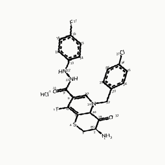 Cl.N[C@H]1CSC2=C(F)C(C(=O)NNc3ccc(F)cc3)=CN(Cc3ccc(Cl)cc3)C2C1=O